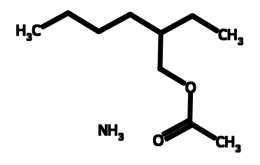 CCCCC(CC)COC(C)=O.N